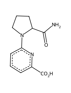 NC(=O)C1CCCN1c1cccc(C(=O)O)n1